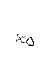 FC(F)(S)Cc1ccccc1